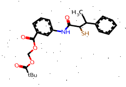 CC(c1ccccc1)C(S)C(=O)Nc1cccc(C(=O)OCOC(=O)C(C)(C)C)c1